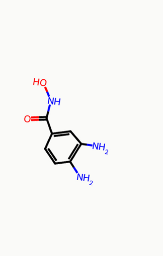 Nc1ccc(C(=O)NO)cc1N